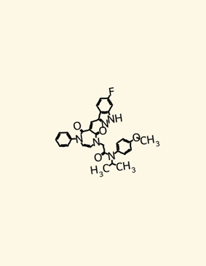 COc1ccc(N(C(=O)CN2C=CN(c3ccccc3)C(=O)C(=Cc3n[nH]c4cc(F)ccc34)C2=O)C(C)C)cc1